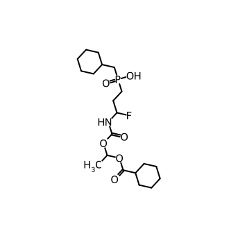 CC(OC(=O)NC(F)CCP(=O)(O)CC1CCCCC1)OC(=O)C1CCCCC1